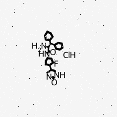 Cl.NC(C(=O)Nc1ccc(-c2cnc(=O)[nH]c2)c(F)c1)C(c1ccccc1)c1ccccc1